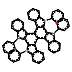 c1ccc(-n2c3ccccc3c3c4c(c5c6ccccc6n(-c6ccccc6)c5c32)c2c3ccccc3n(-c3ccccc3)c2c2c4c3ccccc3n2-c2ccccc2)cc1